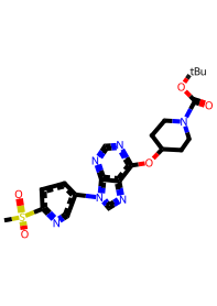 CC(C)(C)OC(=O)N1CCC(Oc2ncnc3c2ncn3-c2ccc(S(C)(=O)=O)nc2)CC1